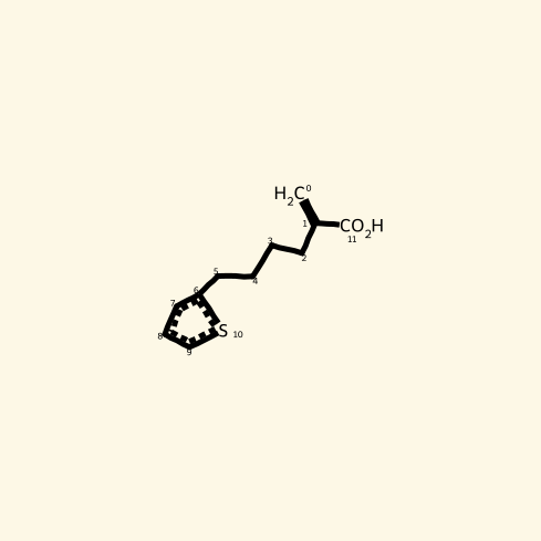 C=C(CCCCc1cccs1)C(=O)O